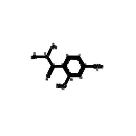 CCCN(CCC)C(=O)c1ccc(OC)cc1OC